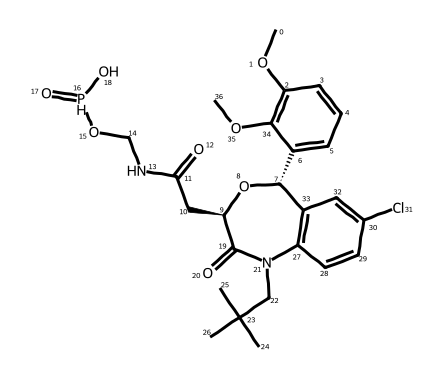 COc1cccc([C@H]2O[C@H](CC(=O)NCO[PH](=O)O)C(=O)N(CC(C)(C)C)c3ccc(Cl)cc32)c1OC